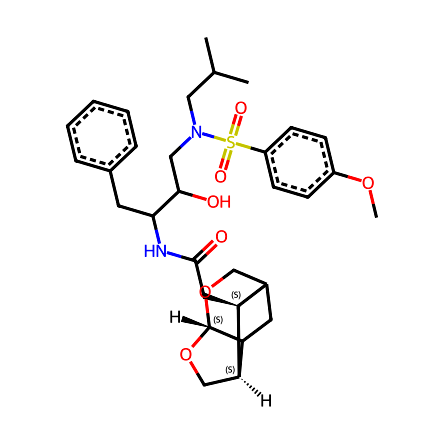 COc1ccc(S(=O)(=O)N(CC(C)C)CC(O)C(Cc2ccccc2)NC(=O)C[C@H]2C3CO[C@H]4OC[C@@H]2C4C3)cc1